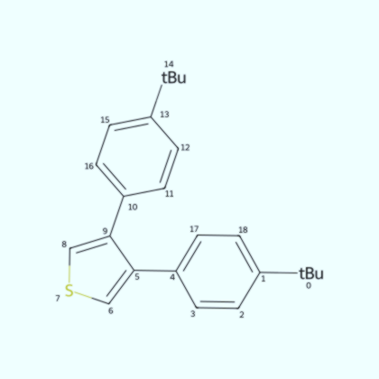 CC(C)(C)c1ccc(-c2cscc2-c2ccc(C(C)(C)C)cc2)cc1